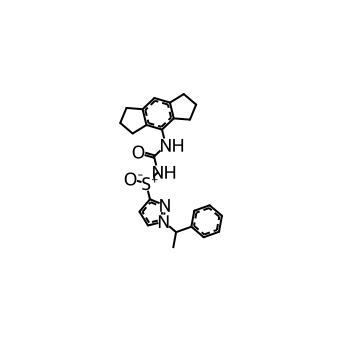 CC(c1ccccc1)n1ccc([S+]([O-])NC(=O)Nc2c3c(cc4c2CCC4)CCC3)n1